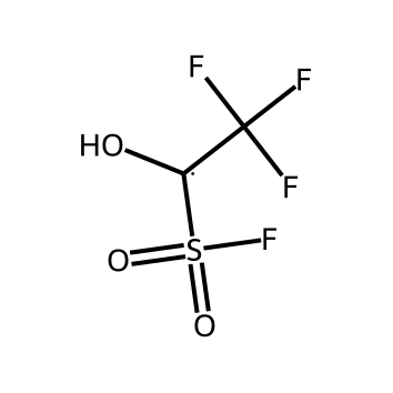 O=S(=O)(F)[C](O)C(F)(F)F